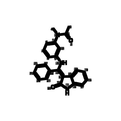 CC(=O)N(C)c1cccc(NC(=C2C(=O)Nc3ccccc32)c2ccccc2)c1